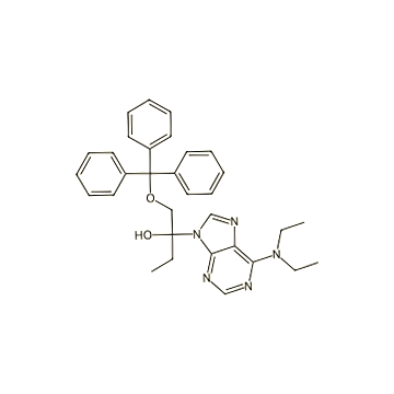 CCN(CC)c1ncnc2c1ncn2C(O)(CC)COC(c1ccccc1)(c1ccccc1)c1ccccc1